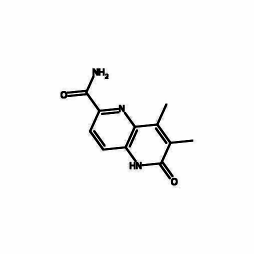 Cc1c(C)c2nc(C(N)=O)ccc2[nH]c1=O